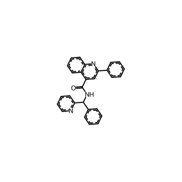 O=C(NC(c1ccccc1)c1ccccn1)c1[c]c(-c2ccccc2)nc2ccccc12